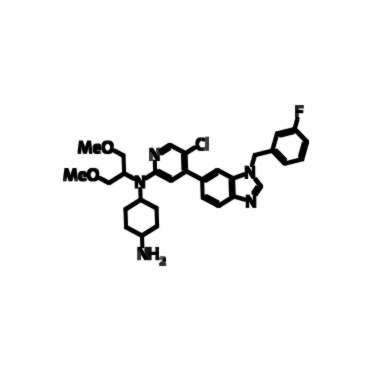 COCC(COC)N(c1cc(-c2ccc3ncn(Cc4cccc(F)c4)c3c2)c(Cl)cn1)C1CCC(N)CC1